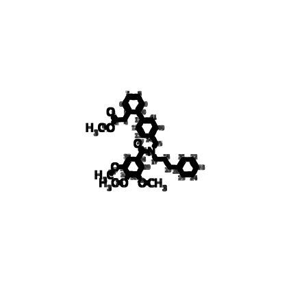 COC(=O)Cc1ccccc1-c1ccc(CN(CCCc2ccccc2)C(=O)c2cc(OC)c(OC)c(OC)c2)cc1